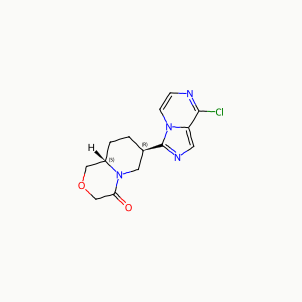 O=C1COC[C@@H]2CC[C@@H](c3ncc4c(Cl)nccn34)CN12